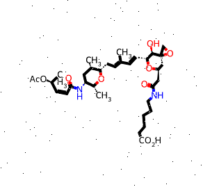 CC(=O)O[C@@H](C)/C=C\C(=O)N[C@@H]1C[C@H](C)[C@H](C/C=C(C)/C=C/[C@H]2O[C@H](CC(=O)NCCCCCC(=O)O)C[C@@]3(CO3)[C@@H]2O)O[C@@H]1C